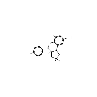 Oc1ccc([C@@H]2Oc3c(O)cc(O)cc3[C@@H]3CC(F)(F)C[C@@H]32)cc1